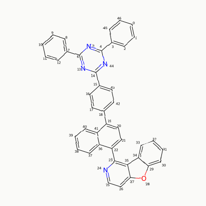 c1ccc(-c2nc(-c3ccccc3)nc(-c3ccc(-c4ccc(-c5nccc6oc7ccccc7c56)c5ccccc45)cc3)n2)cc1